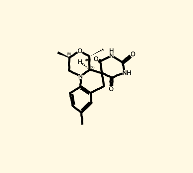 Cc1ccc2c(c1)CC1(C(=O)NC(=O)NC1=O)[C@@H]1[C@@H](C)O[C@H](C)CN21